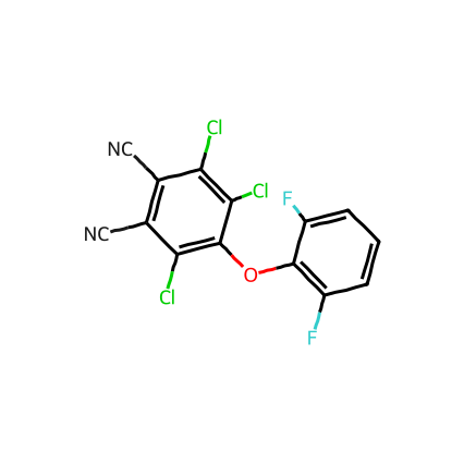 N#Cc1c(Cl)c(Cl)c(Oc2c(F)cccc2F)c(Cl)c1C#N